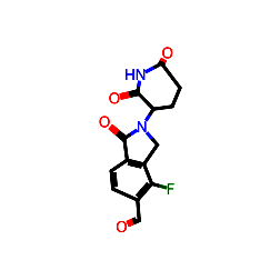 O=Cc1ccc2c(c1F)CN(C1CCC(=O)NC1=O)C2=O